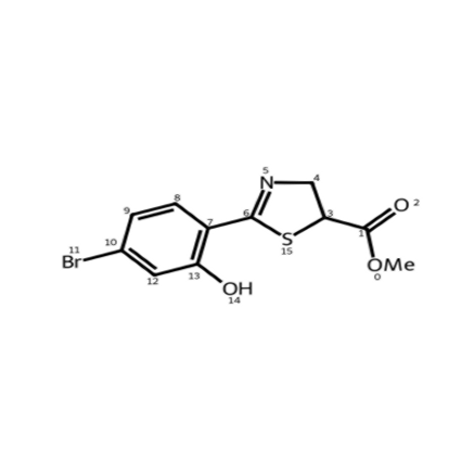 COC(=O)C1CN=C(c2ccc(Br)cc2O)S1